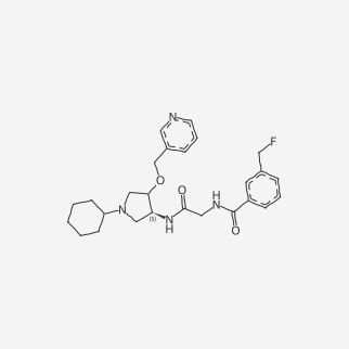 O=C(CNC(=O)c1cccc(CF)c1)N[C@H]1CN(C2CCCCC2)CC1OCc1cccnc1